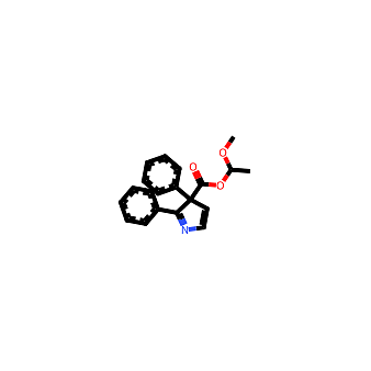 COC(C)OC(=O)C1(c2ccccc2)C=CN=C1c1ccccc1